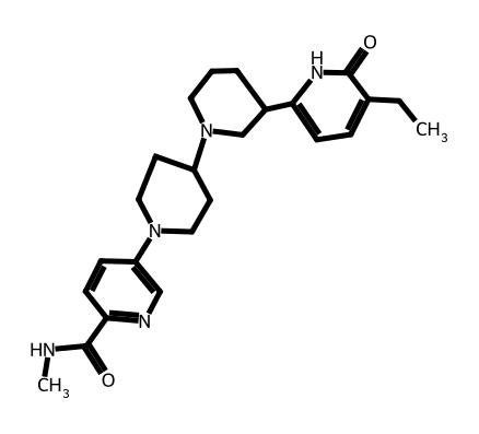 CCc1ccc(C2CCCN(C3CCN(c4ccc(C(=O)NC)nc4)CC3)C2)[nH]c1=O